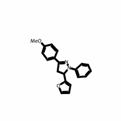 COc1ccc(C2=NN(c3ccccc3)C(c3ccco3)C2)cc1